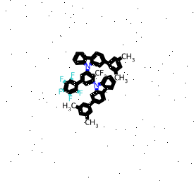 Cc1cc(C)cc(-c2ccc3c4ccccc4n(-c4cc(-c5c(F)c(F)c(F)c(F)c5F)cc(-n5c6ccccc6c6ccc(-c7cc(C)cc(C)c7)cc65)c4C(F)(F)F)c3c2)c1